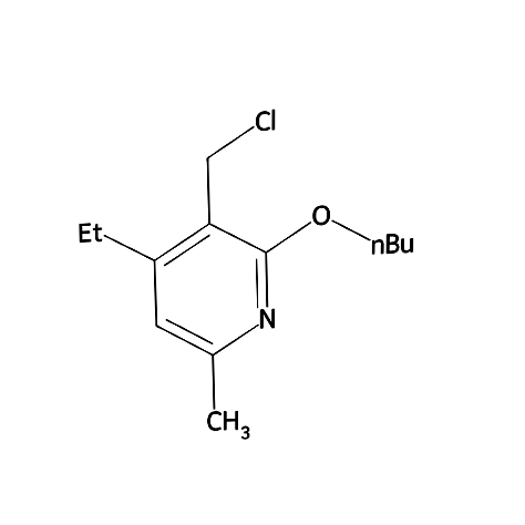 CCCCOc1nc(C)cc(CC)c1CCl